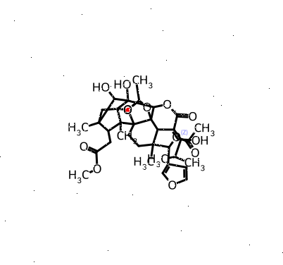 COC(=O)CC1C2(C)CC34OC5(C)OC67C(/C(=C(/O)C(C)C)C(=O)OC6C3(O)C2O)C(C)(C(OC(C)=O)c2ccoc2)CCC7(O5)C14C